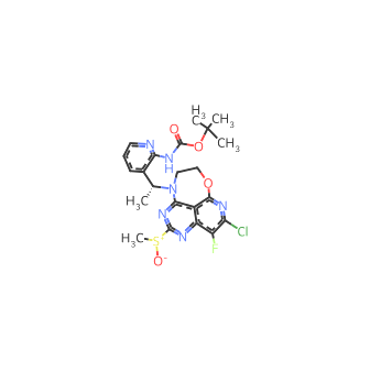 C[C@H](c1cccnc1NC(=O)OC(C)(C)C)N1CCOc2nc(Cl)c(F)c3nc([S+](C)[O-])nc1c23